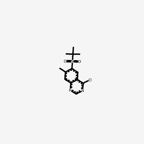 Cc1cc2ncnc(Cl)c2cc1S(=O)(=O)C(C)(C)C